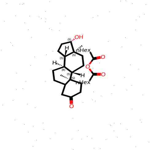 CCCCCCC(=O)OC(=O)CCCCCC.C[C@]12CC[C@H]3[C@@H](CCC4CC(=O)CC[C@@]43C)[C@@H]1CC[C@@H]2O